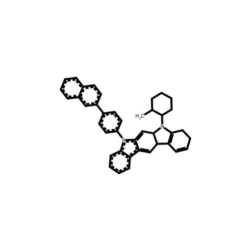 CC1CCCCC1N1C2=C(C=CCC2)C2C=c3c(n(-c4ccc(-c5ccc6ccccc6c5)cc4)c4ccccc34)=CC21